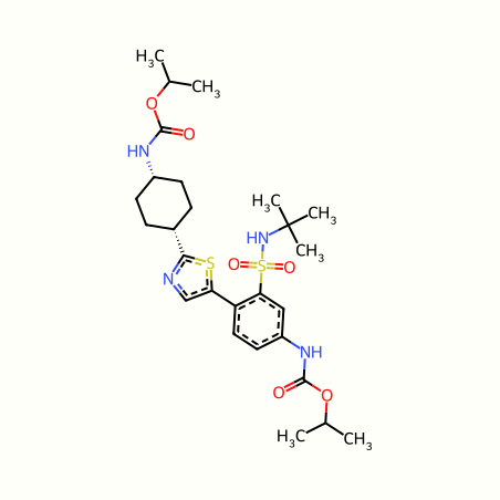 CC(C)OC(=O)Nc1ccc(-c2cnc([C@H]3CC[C@@H](NC(=O)OC(C)C)CC3)s2)c(S(=O)(=O)NC(C)(C)C)c1